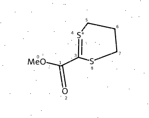 COC(=O)C1=[S+]CCCS1